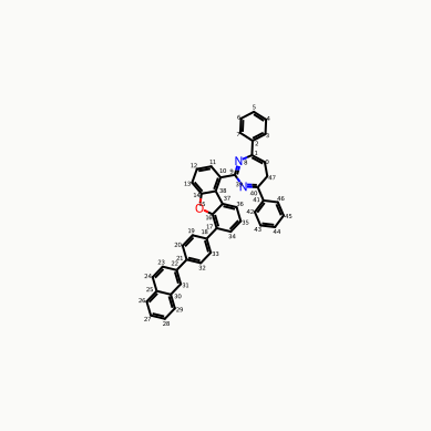 C1=C(c2ccccc2)N=C(c2cccc3oc4c(-c5ccc(-c6ccc7ccccc7c6)cc5)cccc4c23)N=C(c2ccccc2)C1